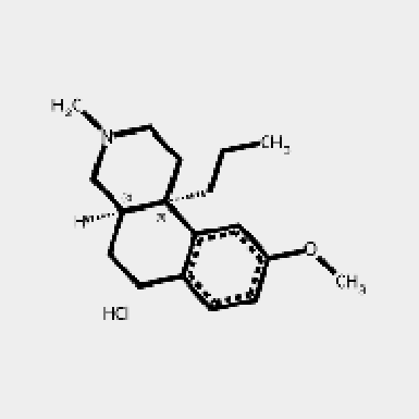 CCC[C@@]12CCN(C)C[C@@H]1CCc1ccc(OC)cc12.Cl